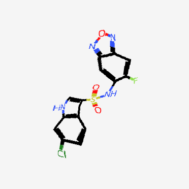 O=S(=O)(Nc1cc2nonc2cc1F)c1c[nH]c2cc(Cl)ccc12